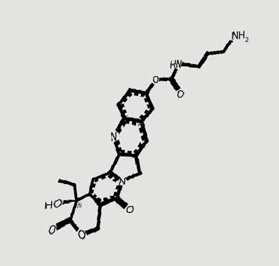 CC[C@@]1(O)C(=O)OCc2c1cc1n(c2=O)Cc2cc3cc(OC(=O)NCCCN)ccc3nc2-1